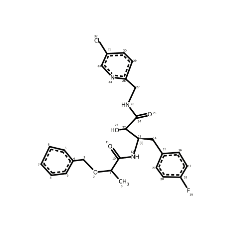 CC(OCc1ccccc1)C(=O)N[C@H](Cc1ccc(F)cc1)C(O)C(=O)NCc1ccc(Cl)cn1